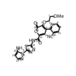 COCCOc1c(-c2ncccc2C#N)cc(C(=O)Nc2nnc(-n3nccc3N)s2)oc1=O